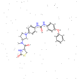 CN(C(=O)C1CSC(=O)N1)C1CCN(c2ccc(NC(=O)Nc3ccc(Oc4ccccc4)cc3)cc2)C1